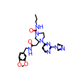 CCCNC(=O)N1CCN(c2ccnc(-n3ccnc3)n2)C(CC(=O)NCc2ccc3c(c2)OCO3)C1